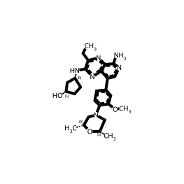 CCc1nc2c(N)ncc(-c3ccc(N4C[C@@H](C)O[C@@H](C)C4)c(OC)c3)c2nc1N[C@@H]1CC[C@H](O)C1